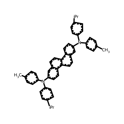 Cc1ccc(N(c2ccc(C(C)C)cc2)c2ccc3c(ccc4c5ccc(N(c6ccc(C)cc6)c6ccc(C(C)C)cc6)cc5ccc34)c2)cc1